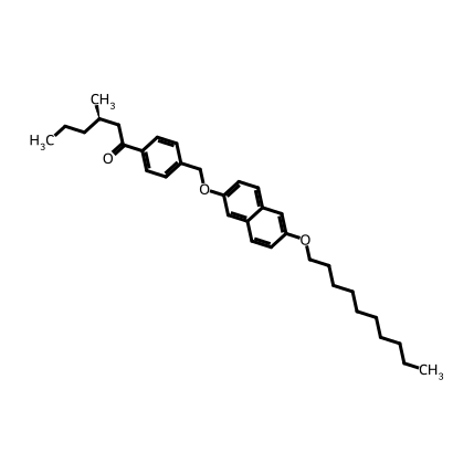 CCCCCCCCCCOc1ccc2cc(OCc3ccc(C(=O)C[C@H](C)CCC)cc3)ccc2c1